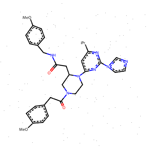 COc1ccc(CNC(=O)CC2CN(C(=O)Cc3ccc(OC)cc3)CCN2c2cc(C(C)C)nc(-n3ccnc3)n2)cc1